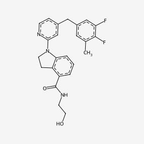 Cc1cc(Cc2ccnc(N3CCc4c(C(=O)NCCO)cccc43)c2)cc(F)c1F